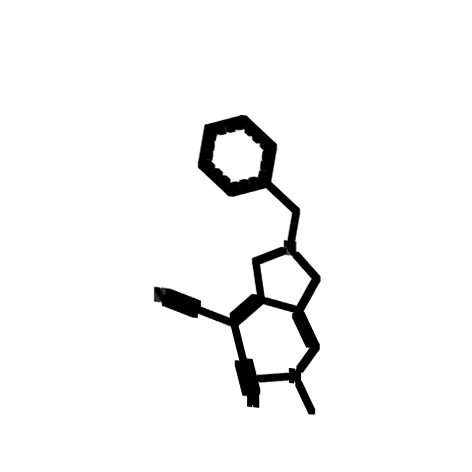 CN(C)/C=C1/CN(Cc2ccccc2)CC1=C(C#N)C#N